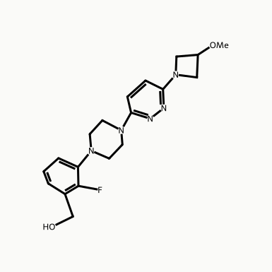 COC1CN(c2ccc(N3CCN(c4cccc(CO)c4F)CC3)nn2)C1